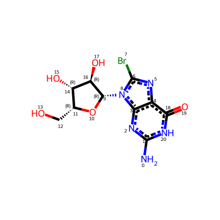 Nc1nc2c(nc(Br)n2[C@@H]2O[C@H](CO)[C@H](O)[C@H]2O)c(=O)[nH]1